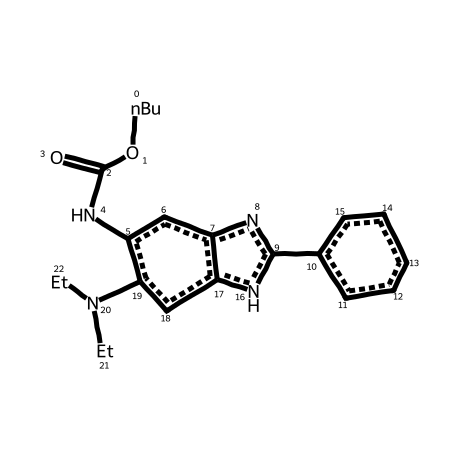 CCCCOC(=O)Nc1cc2nc(-c3ccccc3)[nH]c2cc1N(CC)CC